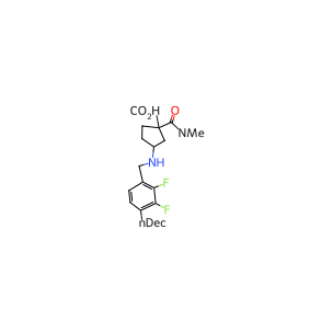 CCCCCCCCCCc1ccc(CNC2CCC(C(=O)O)(C(=O)NC)C2)c(F)c1F